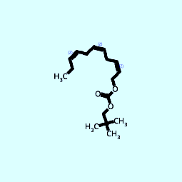 CC/C=C\C/C=C\C/C=C\COC(=O)OCC(C)(C)C